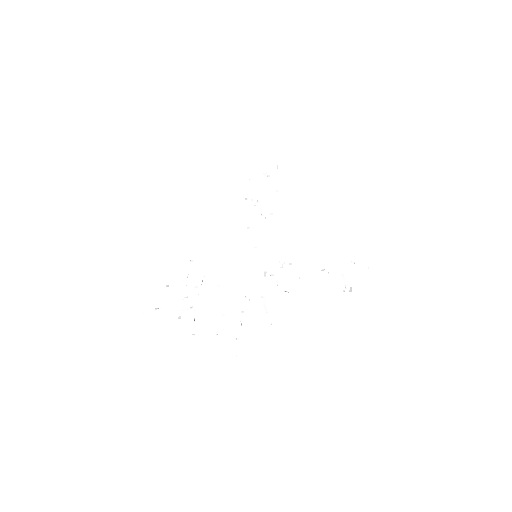 CNC(=N)NCCC[C@H](NC(=O)C1CCN(C(=O)OC(C)(C)C)CC1)C(=O)N[C@@H](CC(C)C)B1O[C@@H]2C[C@@H]3C[C@@H](C3(C)C)[C@]2(C)O1